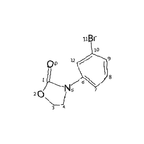 O=C1OCCN1c1cccc(Br)c1